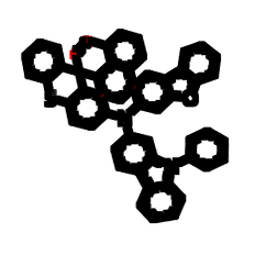 c1ccc(-n2c3ccccc3c3ccc(N(c4ccc5c(c4)C4(c6ccccc6S5)c5ccccc5-c5cccc6cccc4c56)c4ccc5c(c4)oc4ccccc45)cc32)cc1